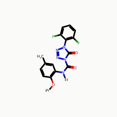 CCN(C(=O)n1nnn(-c2c(F)cccc2F)c1=O)c1cc(C)ccc1OC(C)C